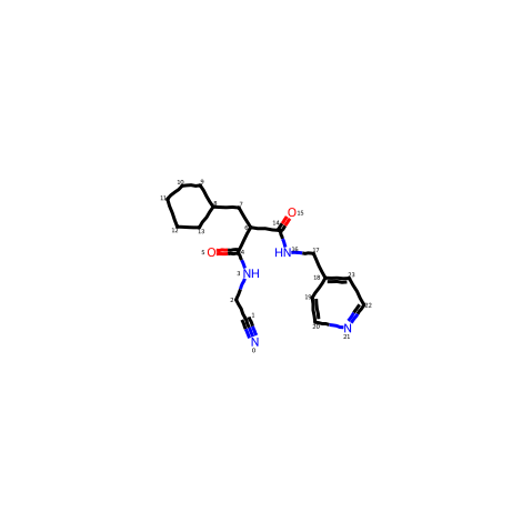 N#CCNC(=O)C(CC1CCCCC1)C(=O)NCc1ccncc1